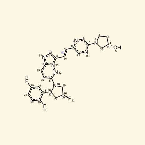 O[C@H]1CCN(c2cnc(/C=C/c3cnc4ccc(N5C[C@@H](F)C[C@@H]5c5cc(F)ccc5F)nn34)cn2)C1